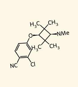 CN[C@H]1C(C)(C)[C@@H](Oc2ccc(C#N)c(Cl)c2)C1(C)C